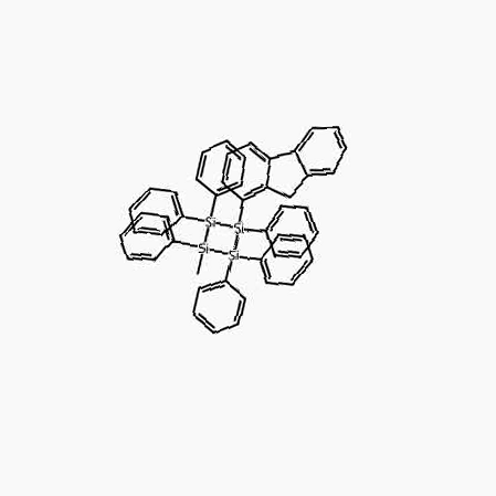 C[Si]1(c2ccccc2)[Si](c2ccccc2)(c2ccccc2)[Si](c2ccccc2)(c2cccc3c2Cc2ccccc2-3)[Si]1(c1ccccc1)c1ccccc1